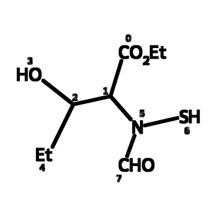 CCOC(=O)C(C(O)CC)N(S)C=O